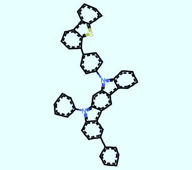 c1ccc(-c2ccc3c(c2)c2cc4c5ccccc5n(-c5ccc(-c6cccc7c6sc6ccccc67)cc5)c4cc2n3-c2ccccc2)cc1